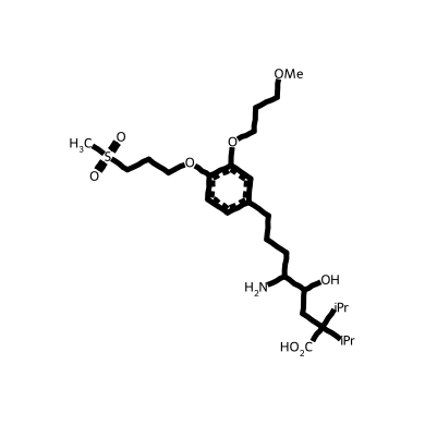 COCCCOc1cc(CCCC(N)C(O)CC(C(=O)O)(C(C)C)C(C)C)ccc1OCCCS(C)(=O)=O